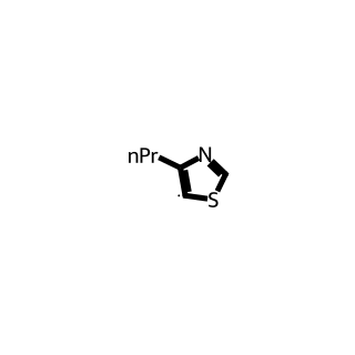 CCCc1[c]scn1